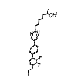 C=CCc1ccc(-c2ccc(-c3cnc(C=CCCCC(C)O)nc3)cc2)c(F)c1F